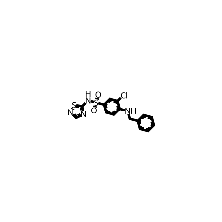 O=S(=O)(Nc1ncns1)c1ccc(NCc2ccccc2)c(Cl)c1